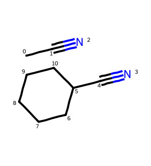 CC#N.N#CC1CCCCC1